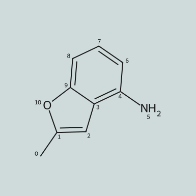 Cc1cc2c(N)cccc2o1